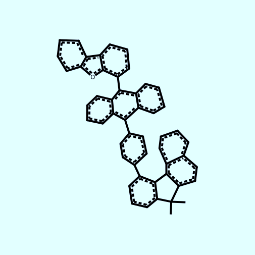 CC1(C)c2cccc(-c3ccc(-c4c5ccccc5c(-c5cccc6c5oc5ccccc56)c5ccccc45)cc3)c2-c2c1ccc1ccccc21